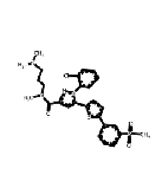 CN(C)CCCN(C)C(=O)c1cc(-c2ccc(-c3cccc(S(C)(=O)=O)c3)s2)n(-c2ccccc2Cl)n1